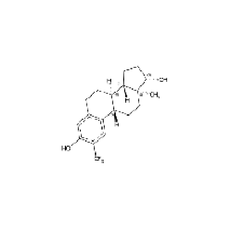 C[C@]12CC[C@@H]3c4cc(C(F)(F)F)c(O)cc4CC[C@H]3[C@@H]1CC[C@@H]2O